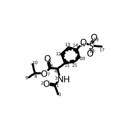 CC(=O)NC(C(=O)OC(C)C)c1ccc(OS(C)(=O)=O)cc1